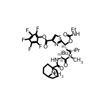 CCNC(=O)O[C@H](C[C@H](C(C)C)N(C)C(=O)[C@@H](NC(=O)C12CCCC(CCC1)N2C)[C@@H](C)CC)c1nc(C(=O)Oc2c(F)c(F)c(F)c(F)c2F)cs1